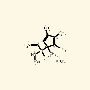 CC1=C[C](C)([Ti]([CH]=[SiH2])([NH]C(C)(C)C)[CH](C)C)C(C)=C1C.[Cl-].[Cl-]